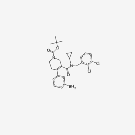 Bc1cccc(C2=C(C(=O)N(Cc3cccc(Cl)c3Cl)C3CC3)CN(C(=O)OC(C)(C)C)CC2)c1